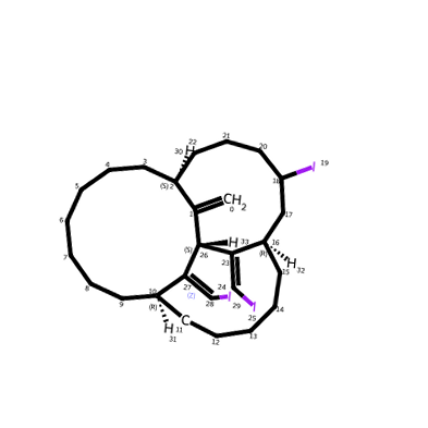 C=C1[C@H]2CCCCCCC[C@@H]3CCCCC[C@H](CC(I)CCC2)C(=CI)[C@@H]1/C3=C\I